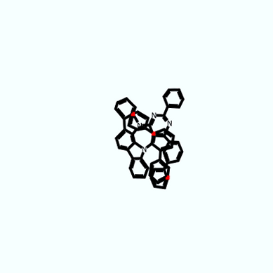 c1ccc(-c2cccc(-c3nc(-c4ccccc4)nc(-n4c5ccccc5c5ccc6c7ccccc7n(-c7c(-c8ccccc8)cccc7-c7ccccc7)c6c54)n3)c2)cc1